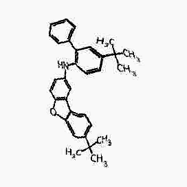 CC(C)(C)c1ccc(Nc2ccc3oc4cc(C(C)(C)C)ccc4c3c2)c(-c2ccccc2)c1